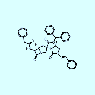 C[C@H]1CN(/N=C/c2ccccc2)C(=O)N1[C@]1(C(=O)OC(c2ccccc2)c2ccccc2)CN2C(=O)[C@@H](NC(=O)Cc3ccccc3)[C@H]2S1